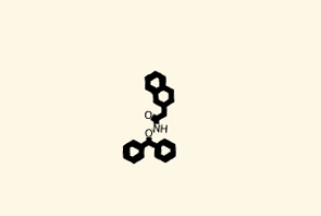 O=C(CC1CCc2ccccc2C1)NOC(c1ccccc1)c1ccccc1